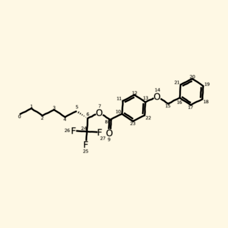 CCCCCC[C@H](OC(=O)c1ccc(OCc2ccccc2)cc1)C(F)(F)F